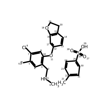 CNCc1cc(F)c(Cl)cc1Oc1ccc2c(c1)OCC2.Cc1ccc(S(=O)(=O)O)cc1